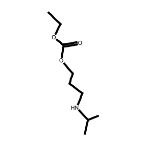 CCOC(=O)OCCCNC(C)C